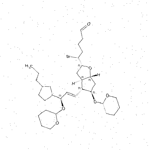 CCCC1CCC([C@@H](C=C[C@@H]2[C@H]3C[C@H](C(Br)CCCC=O)O[C@@H]3C[C@H]2OC2CCCCO2)OC2CCCCO2)C1